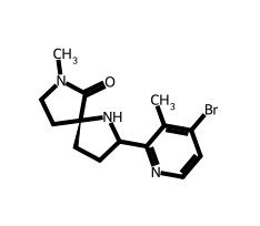 Cc1c(Br)ccnc1C1CC[C@]2(CCN(C)C2=O)N1